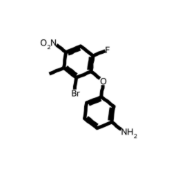 Cc1c([N+](=O)[O-])cc(F)c(Oc2cccc(N)c2)c1Br